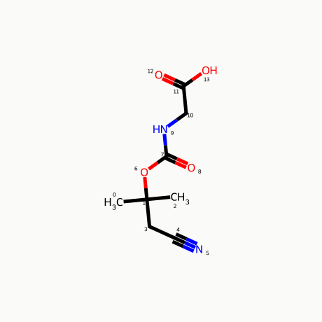 CC(C)(CC#N)OC(=O)NCC(=O)O